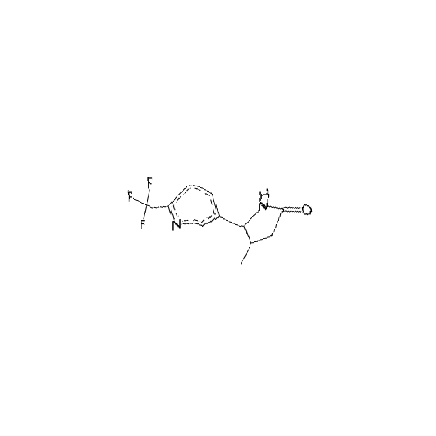 CC1CC(=O)NC1c1ccc(C(F)(F)F)nc1